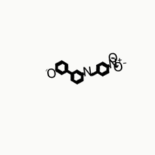 COc1cccc(-c2cccc(N=Cc3ccc([N+](=O)[O-])cc3)c2)c1